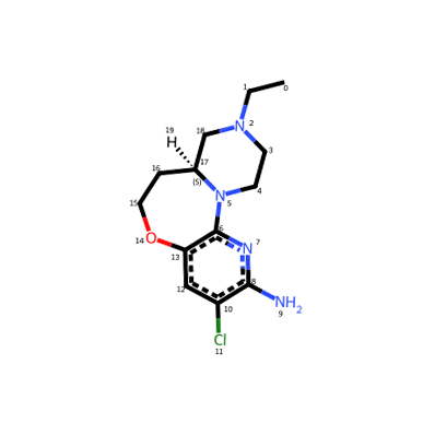 CCN1CCN2c3nc(N)c(Cl)cc3OCC[C@H]2C1